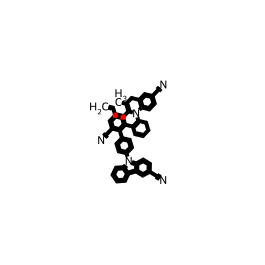 C=C/C=C\C1=C(C)Cc2cc(C#N)ccc2N1C1=C(c2cccc(C#N)c2-c2ccc(-n3c4ccccc4c4cc(C#N)ccc43)cc2)C=CCC1